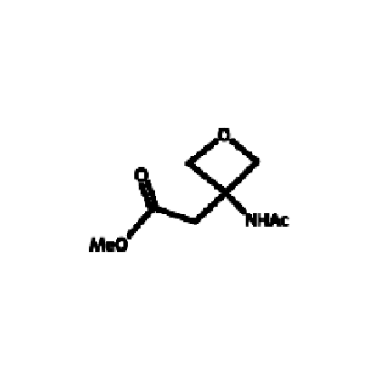 COC(=O)CC1(NC(C)=O)COC1